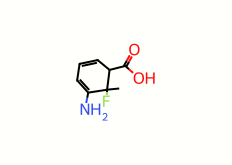 CC1(F)C(N)=CC=CC1C(=O)O